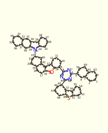 c1ccc2cc(-c3nc(-c4cccc5c4oc4ccc6ccc(-n7c8ccccc8c8cc9ccccc9cc87)cc6c45)nc(-c4cccc5sc6ccccc6c45)n3)ccc2c1